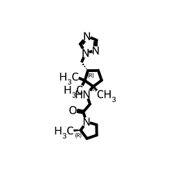 C[C@@H]1CCCN1C(=O)CN[C@@]1(C)CC[C@@H](Cn2cncn2)C1(C)C